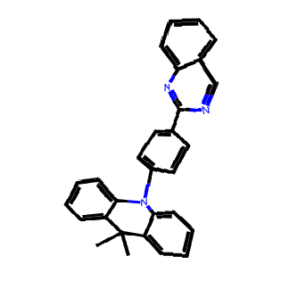 CC1(C)c2ccccc2N(c2ccc(-c3ncc4ccccc4n3)cc2)c2ccccc21